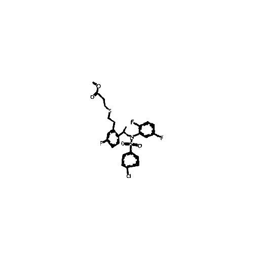 COC(=O)CCSCCc1cc(F)ccc1C(C)N(c1cc(F)ccc1F)S(=O)(=O)c1ccc(Cl)cc1